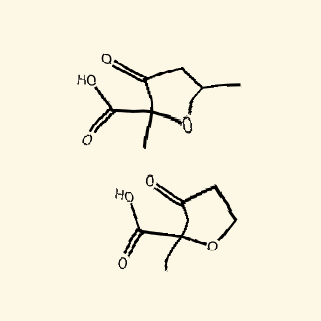 CC1(C(=O)O)OCCC1=O.CC1CC(=O)C(C)(C(=O)O)O1